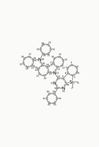 C[Si]1(C)c2ccccc2-c2c(-n3c4ccccc4c4c3ccc3c5ccccc5n(-c5ccccc5)c34)nc(-c3ccccc3)nc21